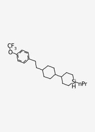 CCC[SiH]1CCC(C2CCC(CCc3ccc(OC(F)(F)F)cc3)CC2)CC1